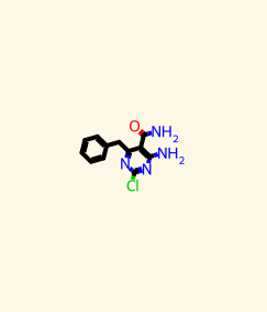 NC(=O)c1c(N)nc(Cl)nc1Cc1ccccc1